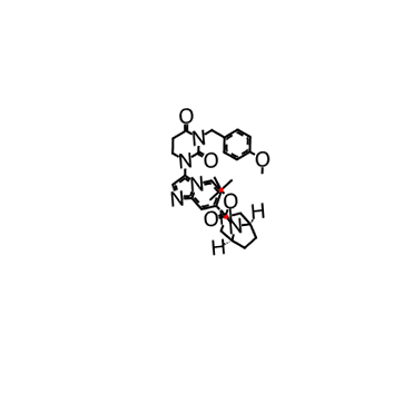 COc1ccc(CN2C(=O)CCN(c3cnc4cc(N5C[C@H]6CC[C@@H](C5)N6C(=O)OC(C)(C)C)ccn34)C2=O)cc1